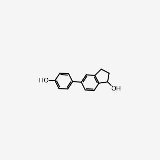 Oc1ccc(-c2ccc3c(c2)CCC3O)cc1